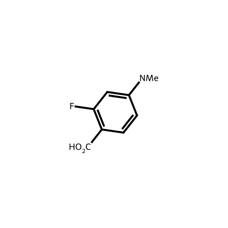 CNc1ccc(C(=O)O)c(F)c1